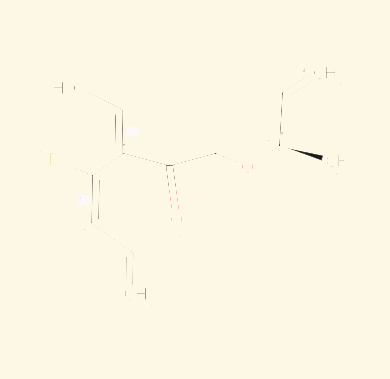 C=C/C=C(F)\C(=C/C)C(=O)CO[C@@H](C=C)C(F)(F)F